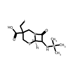 C[Si](C)(C)NC1C(=O)N2CC(CI)(C(=O)O)CS[C@H]12